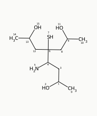 CC(O)CC(N)C(S)(CC(C)O)CC(C)O